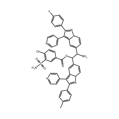 NC(c1ccn2nc(-c3ccc(F)cc3)c(-c3ccncc3)c2c1)C(OC(=O)c1ccc(Cl)c(S(N)(=O)=O)c1)c1ccn2nc(-c3ccc(F)cc3)c(-c3ccncc3)c2c1